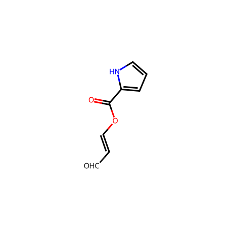 O=CC=COC(=O)c1ccc[nH]1